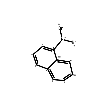 BrP(Br)c1cccc2ccccc12